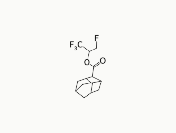 O=C(OC(CF)C(F)(F)F)C1C2CC3CC(C2)CC1C3